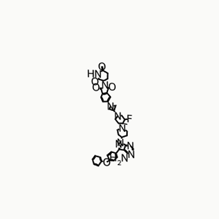 C[C@@]1(N2CCC(n3nc(-c4ccc(Oc5ccccc5)cc4)c4c(N)ncnc43)CC2)CCN(C2CN(c3ccc4c(c3)C(=O)N(C3CCC(=O)NC3=O)C4=O)C2)CC1F